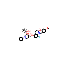 COc1ccc(CN2C(=O)CCc3c(OC[C@]4(O)CCN(c5ccccc5)C[C@H]4O[Si](C)(C)C(C)(C)C)ccc(F)c32)cc1